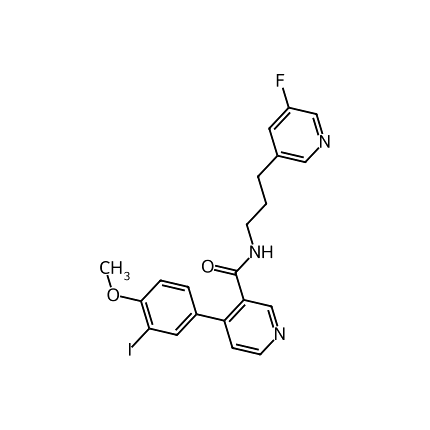 COc1ccc(-c2ccncc2C(=O)NCCCc2cncc(F)c2)cc1I